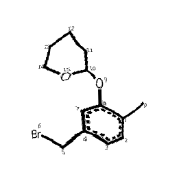 Cc1ccc(CBr)cc1OC1CCCCO1